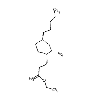 CCCCC[C@H]1CC[C@H](CCC(=N)OCC)CC1.Cl